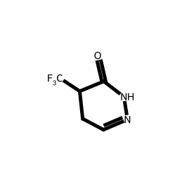 O=C1NN=CCC1C(F)(F)F